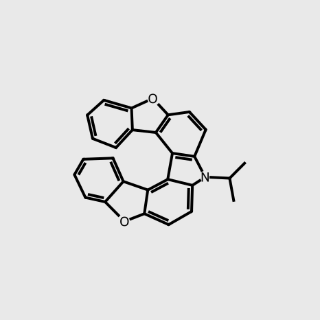 CC(C)n1c2ccc3oc4ccccc4c3c2c2c3c(ccc21)oc1ccccc13